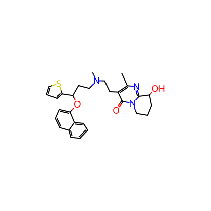 Cc1nc2n(c(=O)c1CCN(C)CCC(Oc1cccc3ccccc13)c1cccs1)CCCC2O